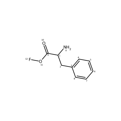 NC(Cc1ccccc1)C(=O)OF